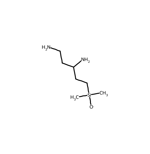 C[Si](C)([O])CCC(N)CCN